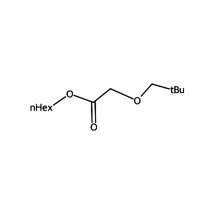 CCCCCCOC(=O)COCC(C)(C)C